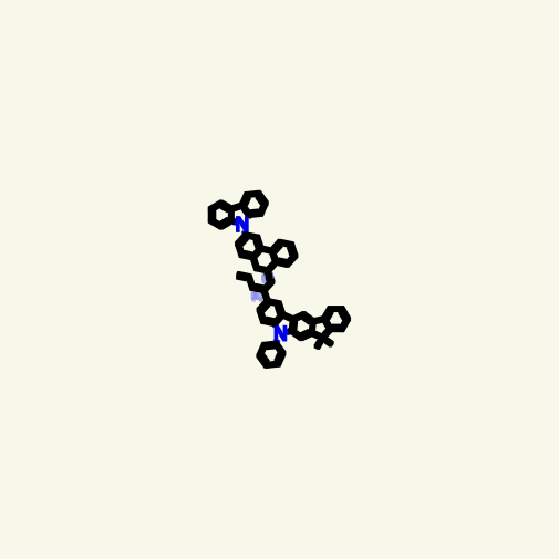 C=C/C=C(\C=C1/Cc2ccc(-n3c4ccccc4c4ccccc43)cc2-c2ccccc21)c1ccc2c(c1)c1cc3c(cc1n2-c1ccccc1)C(C)(C)c1ccccc1-3